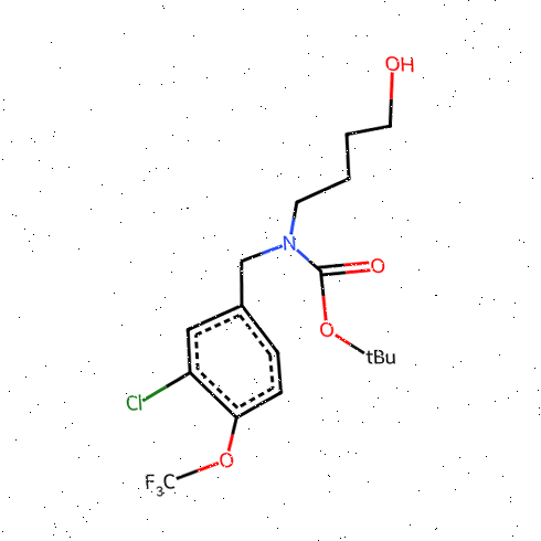 CC(C)(C)OC(=O)N(CCCCO)Cc1ccc(OC(F)(F)F)c(Cl)c1